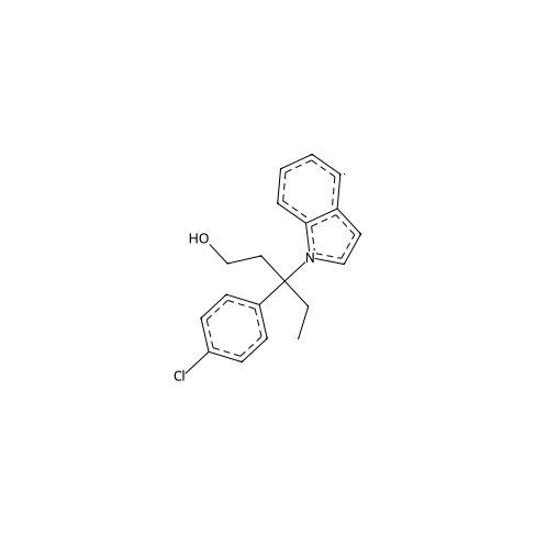 CCC(CCO)(c1ccc(Cl)cc1)n1ccc2[c]cccc21